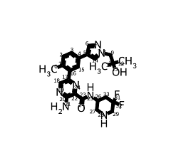 Cc1ccc(-c2cnn(CC(C)(C)O)c2)cc1-c1cnc(N)c(C(=O)NC2CNCC(F)(F)C2)n1